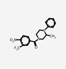 CC1CN(C(=O)c2ccc([N+](=O)[O-])c(C(F)(F)F)c2)CCN1c1ccccc1